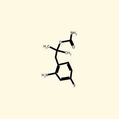 CC(C)(Cc1ccc(F)cc1N)OC(N)=O